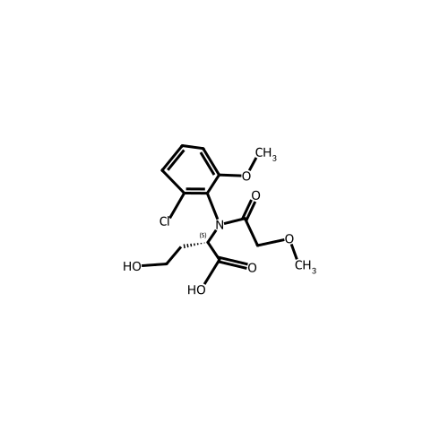 COCC(=O)N(c1c(Cl)cccc1OC)[C@@H](CCO)C(=O)O